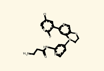 NCCC(=O)Nc1cc(N2CCOc3cnc(-c4cc(Cl)ccc4F)cc32)ccn1